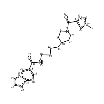 Cn1cnc(C(=O)N2CCC(CCCCNC(=O)c3ccc4nccn4c3)CC2)c1